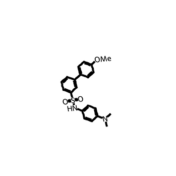 COc1ccc(-c2cccc(S(=O)(=O)Nc3ccc(N(C)C)cc3)c2)cc1